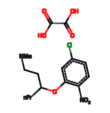 CCCC(CCNC)Oc1cc(Cl)ccc1[N+](=O)[O-].O=C(O)C(=O)O